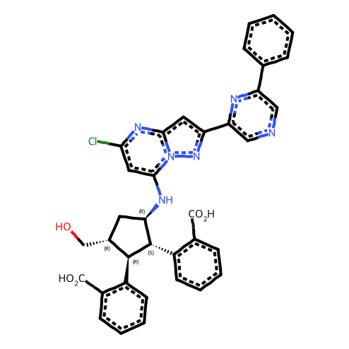 O=C(O)c1ccccc1[C@@H]1[C@@H](c2ccccc2C(=O)O)[C@H](CO)C[C@H]1Nc1cc(Cl)nc2cc(-c3cncc(-c4ccccc4)n3)nn12